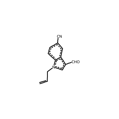 C=CCn1cc(C=O)c2cc(C#N)ccc21